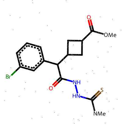 CNC(=S)NNC(=O)C(c1cccc(Br)c1)C1CC(C(=O)OC)C1